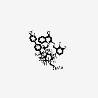 [2H]C(C)(c1ccc(-c2ccc(C(F)(F)F)cc2)cc1)N(C(=O)Cn1c(SCc2cccc(F)c2F)cc(=O)c2ccccc21)C1([2H])C([2H])([2H])C([2H])([2H])N(CCOC)C([2H])([2H])C1([2H])[2H]